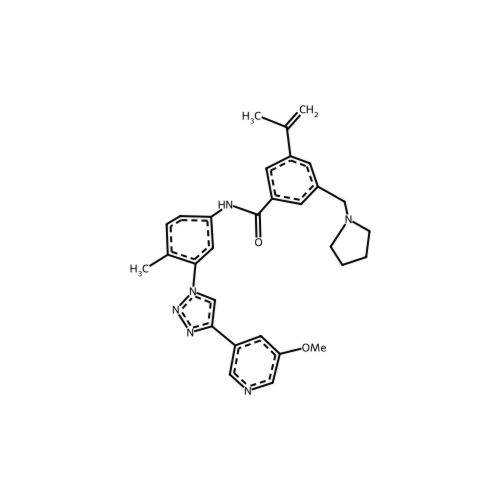 C=C(C)c1cc(CN2CCCC2)cc(C(=O)Nc2ccc(C)c(-n3cc(-c4cncc(OC)c4)nn3)c2)c1